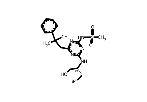 CC(C)C[C@H](CO)Nc1nc(CC(C)(C)c2ccccc2)nc(NS(C)(=O)=O)n1